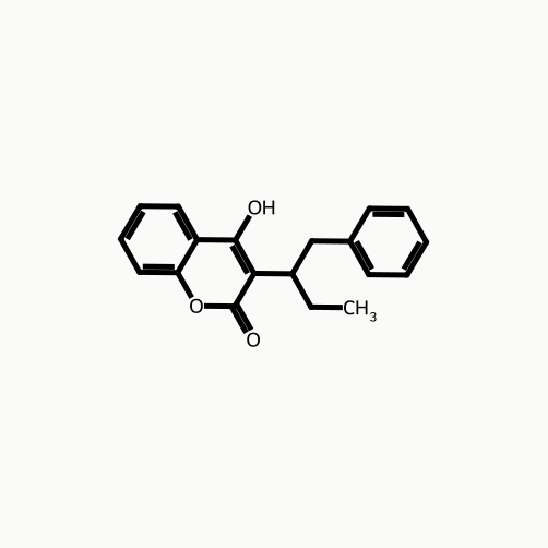 CCC(Cc1ccccc1)c1c(O)c2ccccc2oc1=O